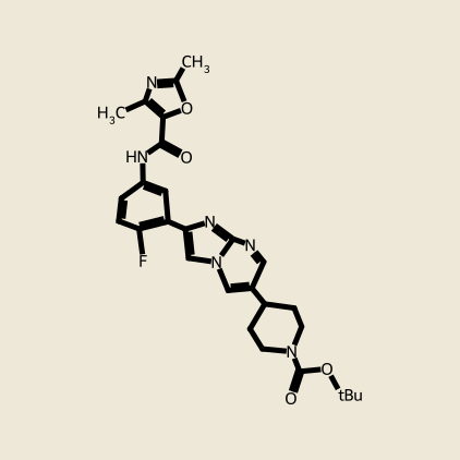 Cc1nc(C)c(C(=O)Nc2ccc(F)c(-c3cn4cc(C5CCN(C(=O)OC(C)(C)C)CC5)cnc4n3)c2)o1